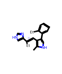 CC/C(=C\c1c(-c2ccccc2CC)c[nH]c1C)c1c[nH]cn1